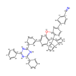 N#Cc1ccc(-c2ccc3c(c2)Oc2cc(-c4cccc(-c5nc(-c6ccccc6)nc(-c6ccccc6)n5)c4)ccc2C32c3ccccc3-c3ccccc32)cc1